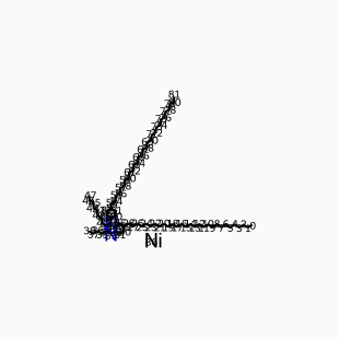 CCCCCCCCCCCCCCCCCCCCCCCCCCCC=Cc1ccc(N=C(CCCC)C(CCCCCCCC)=Nc2ccc(C=CCCCCCCCCCCCCCCCCCCCCCCCCCCC)cc2)cc1.[Ni]